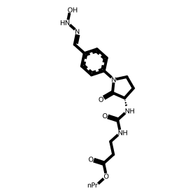 CCCOC(=O)CCNC(=O)N[C@H]1CCN(c2ccc(C=NNO)cc2)C1=O